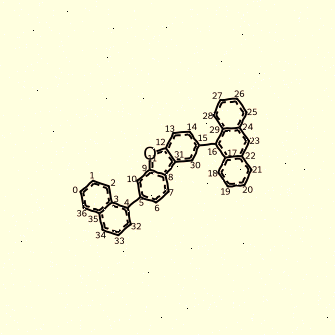 c1ccc2c(-c3ccc4c(c3)oc3ccc(-c5c6ccccc6cc6ccccc56)cc34)cccc2c1